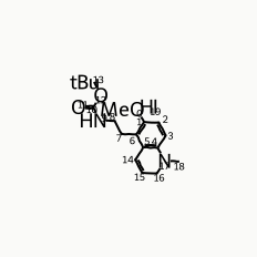 COc1ccc2c(c1CCNC(=O)OC(C)(C)C)C=CCN2C.I